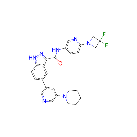 O=C(Nc1ccc(N2CC(F)(F)C2)nc1)c1n[nH]c2ccc(-c3cncc(N4CCCCC4)c3)cc12